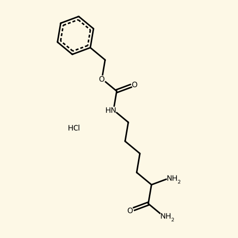 Cl.NC(=O)C(N)CCCCNC(=O)OCc1ccccc1